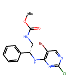 CCCCOC(=O)NC[C@H](Nc1nc(Cl)ncc1Br)c1ccccc1